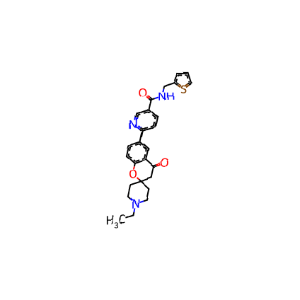 CCN1CCC2(CC1)CC(=O)c1cc(-c3ccc(C(=O)NCc4cccs4)cn3)ccc1O2